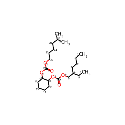 CCCCC(CC)COC(=O)OC1CCCCC1OC(=O)OCCCCC(C)C